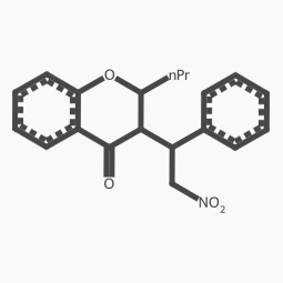 CCCC1Oc2ccccc2C(=O)C1C(C[N+](=O)[O-])c1ccccc1